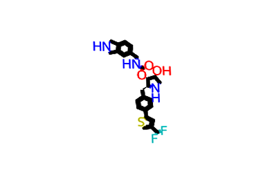 O=C(NCc1ccc2c(c1)CNC2)O[C@@H]1[C@@H](O)CN[C@@H]1Cc1ccc(-c2cc(C(F)F)cs2)cc1